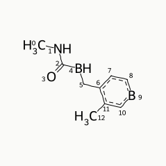 CNC(=O)BCc1ccbcc1C